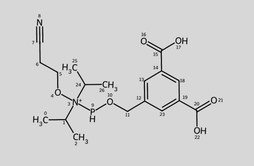 CC(C)[N+](OCCC#N)(POCc1cc(C(=O)O)cc(C(=O)O)c1)C(C)C